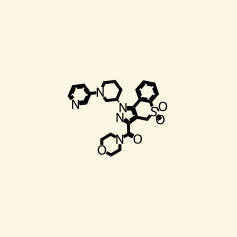 O=C(c1nn([C@H]2CCCN(c3cccnc3)C2)c2c1CS(=O)(=O)c1ccccc1-2)N1CCOCC1